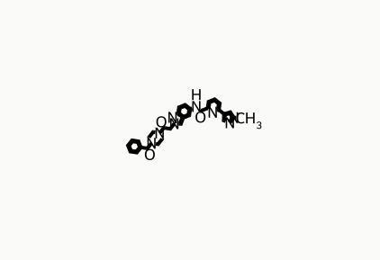 Cn1cc(-c2cccc(C(=O)Nc3ccc4nn(CC(=O)N5CCN(C(=O)c6ccccc6)CC5)cc4c3)n2)cn1